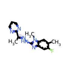 C/C(=N\Nc1nc2cc(F)c(C)cc2n1C)c1ncccn1